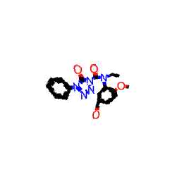 CCN(C(=O)n1nnn(-c2ccccc2)c1=O)c1cc(C=O)ccc1OC